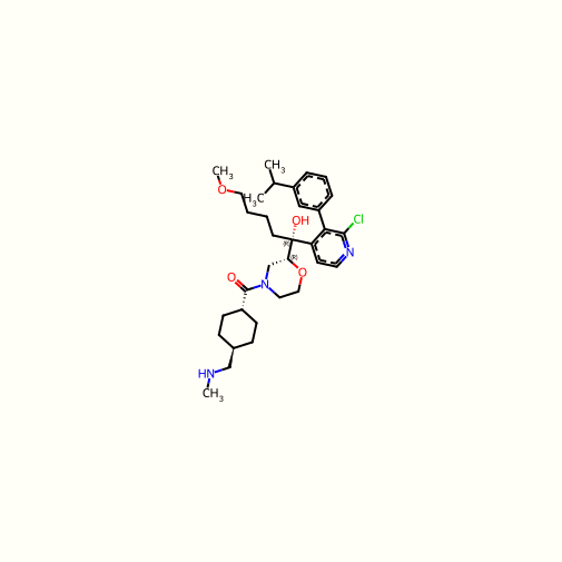 CNC[C@H]1CC[C@H](C(=O)N2CCO[C@@H]([C@@](O)(CCCCOC)c3ccnc(Cl)c3-c3cccc(C(C)C)c3)C2)CC1